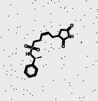 C[C@@H](NS(=O)(=O)CC/C=C\CC1CC(=O)NC1=O)c1ccccc1